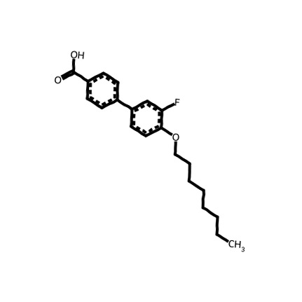 CCCCCCCCOc1ccc(-c2ccc(C(=O)O)cc2)cc1F